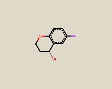 O[C@@H]1CCOc2ccc(I)cc21